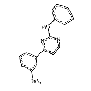 Nc1cccc(-c2ccnc(Nc3ccccc3)n2)c1